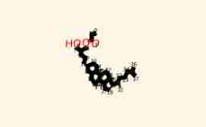 C=CC(=O)OCC(CO)CCC[C@H]1CC[C@@]2(C)C(CC[C@@H]3C2CC[C@@]2(C)C3CC[C@@H]2[C@H](C)CCCC(C)C)C1